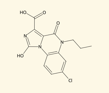 CCCn1c(=O)c2c(C(=O)O)nc(O)n2c2ccc(Cl)cc21